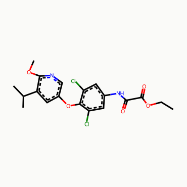 CCOC(=O)C(=O)Nc1cc(Cl)c(Oc2cnc(OC)c(C(C)C)c2)c(Cl)c1